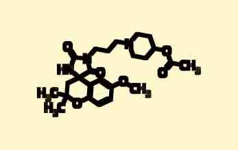 COc1ccc2c(c1)C1(CC(C)(C)O2)NC(=O)N(CCCN2CCC(OC(C)=O)CC2)C1=O